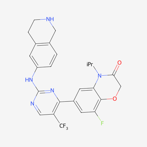 CC(C)N1C(=O)COc2c(F)cc(-c3nc(Nc4ccc5c(c4)CCNC5)ncc3C(F)(F)F)cc21